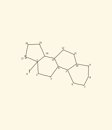 IC12CCC3C4CCCCC4CCC3C1CCS2